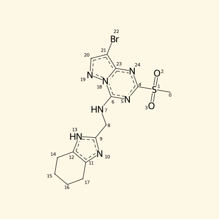 CS(=O)(=O)c1nc(NCc2nc3c([nH]2)CCCC3)n2ncc(Br)c2n1